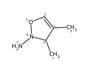 CC1=CON(N)C1C